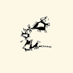 CONC(=O)c1ncnc(Sc2ccc(NS(=O)(=O)c3ccc(Cl)c(C(F)(F)F)c3)cn2)n1